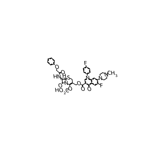 CN1CCN(c2cc3c(cc2F)c(=O)c(C(=O)OCC2=C(OC(=O)O)N4C(=O)[C@@H](NC(=O)COc5ccccc5)[C@H]4SC2)cn3-c2ccc(F)cc2)CC1